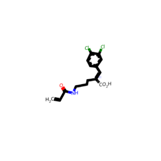 C=CC(=O)NCCC/C(=C\c1ccc(Cl)c(Cl)c1)C(=O)O